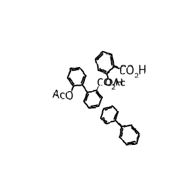 CC(=O)Oc1ccccc1-c1ccccc1C(=O)O.CC(=O)Oc1ccccc1C(=O)O.c1ccc(-c2ccccc2)cc1